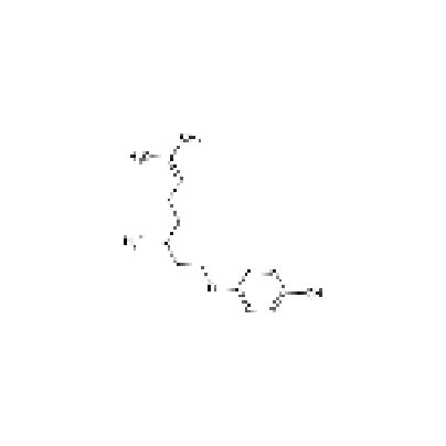 CC(C)=CCCC(C)CCOc1ccc(C#N)cc1